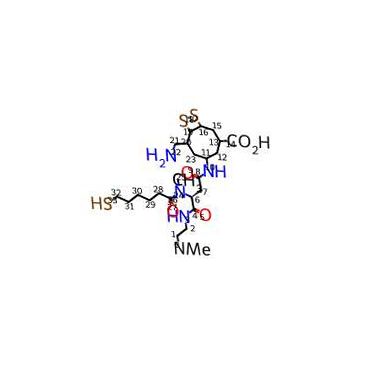 CNCCNC(=O)[C@H](CC(=O)NC1CC(C(=O)O)CC2SSC2C(CN)C1)N(C)C(=O)CCCCCS